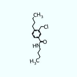 CCCCNC(=O)c1ccc(CCCC)c(CCl)c1